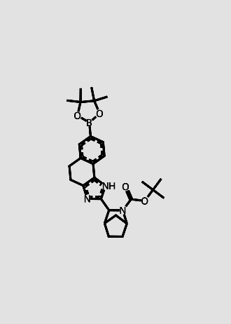 CC(C)(C)OC(=O)N1C2CCC(C2)C1c1nc2c([nH]1)-c1ccc(B3OC(C)(C)C(C)(C)O3)cc1CC2